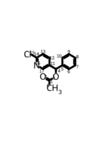 CC(=O)OC(c1ccccc1)c1ccc(Cl)nc1